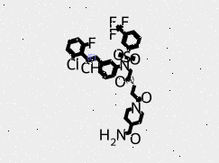 C/C(=C\c1ccc2c(c1)N(S(=O)(=O)c1cccc(C(F)(F)F)c1)C[C@H](CCC(=O)N1CCC(C(N)=O)CC1)O2)c1c(F)cccc1Cl